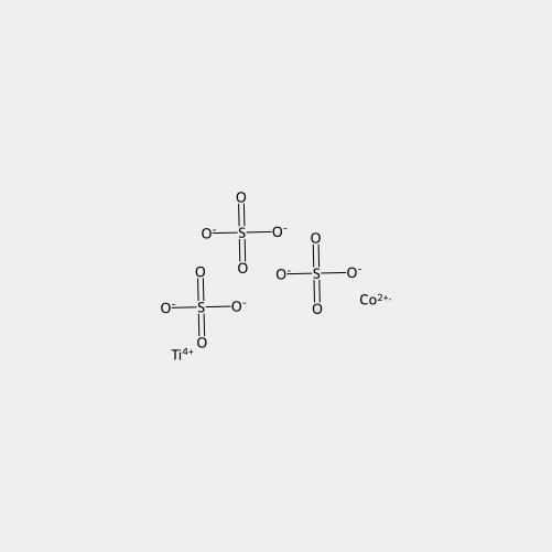 O=S(=O)([O-])[O-].O=S(=O)([O-])[O-].O=S(=O)([O-])[O-].[Co+2].[Ti+4]